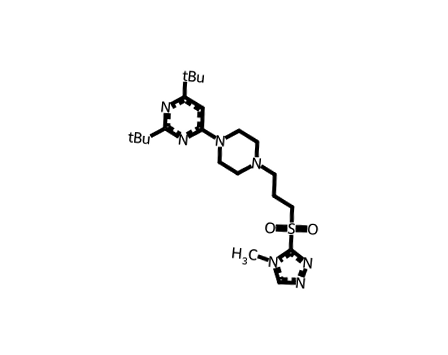 Cn1cnnc1S(=O)(=O)CCCN1CCN(c2cc(C(C)(C)C)nc(C(C)(C)C)n2)CC1